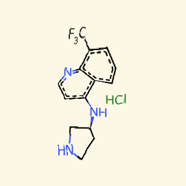 Cl.FC(F)(F)c1cccc2c(N[C@H]3CCNC3)ccnc12